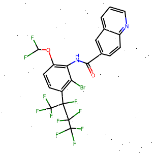 O=C(Nc1c(OC(F)F)ccc(C(F)(C(F)(F)F)C(F)(F)C(F)(F)F)c1Br)c1ccc2ncccc2c1